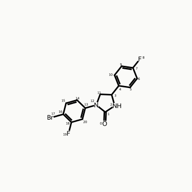 O=C1NC(c2ccc(F)cc2)CN1c1ccc(Br)c(F)c1